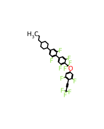 CCCC1CCC(c2cc(F)c(-c3cc(F)c(C(F)(F)Oc4cc(F)c(C#CC(F)(F)F)c(F)c4)c(F)c3)c(F)c2)CC1